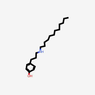 CCCCCCCCCCCCNCCCc1ccc(O)cc1